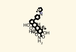 CN1CCC/C1=N/c1ccc(-c2ccc(O)c3c2C[C@H]2C[C@@H]4[C@@H](N(C)C)C(O)=C(C(N)=O)C(=O)[C@]4(O)C(O)=C2C3=O)cc1